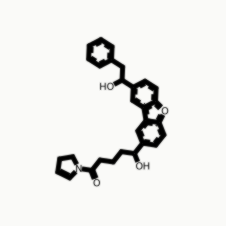 O=C(CCCC(O)c1ccc2oc3ccc(C(O)Cc4ccccc4)cc3c2c1)N1C=CCC1